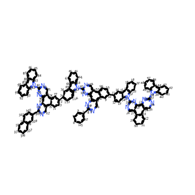 c1ccc(-c2ncc3c4cc(-c5ccc6c(c5)c5ccccc5n6-c5ncc6c7ccccc7c7cnc(-n8c9ccccc9c9ccccc98)nc7c6n5)ccc4c4cnc(-n5c6ccccc6c6cc(-c7ccc8c(c7)c7cnc(-n9c%10ccccc%10c%10ccccc%109)nc7c7nc(-c9ccc%10ccccc%10c9)ncc87)ccc65)nc4c3n2)cc1